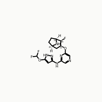 FC(F)Oc1cc(Nc2cncc(O[C@H]3C[C@H]4CC[C@H](N4)[C@H]3F)n2)n[nH]1